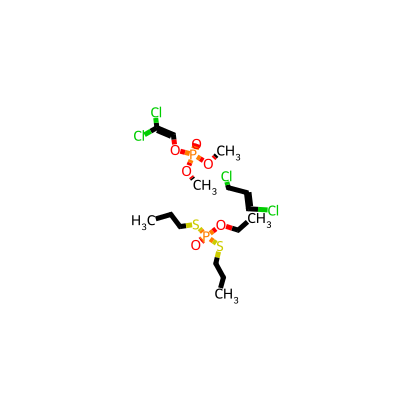 CCCSP(=O)(OCC)SCCC.COP(=O)(OC)OC=C(Cl)Cl.Cl/C=C/CCl